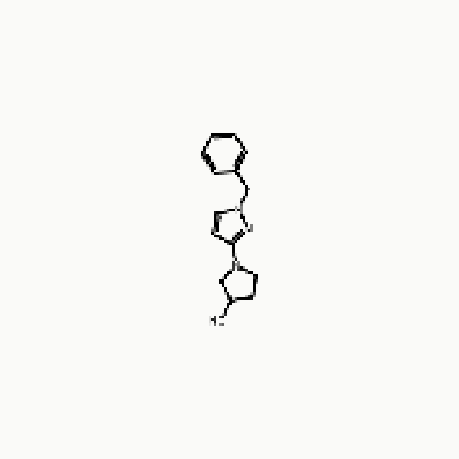 N#CC1CCN(c2ccn(Cc3ccccc3)n2)C1